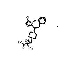 CC(C)(CN1CCN(C2=Cc3ccccc3Cn3c(Cl)cnc32)CC1)C(=O)O